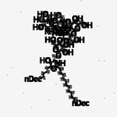 CCCCCCCCCCCCC/C=C/[C@@H](O)[C@H](CO[C@@H]1OC(CO)[C@@H](O[C@@H]2OC(CO)[C@H](O[C@@H]3OC(CO)[C@H](O)[C@H](O)C3NC(C)=O)[C@H](O[C@H]3OC(CO)[C@H](O)[C@H](O[C@@H]4OC(CO)[C@@H](O)[C@H](O)C4NC(C)=O)C3O)C2O)[C@H](O)C1O)NC(=O)CCCCCCCCCCCCCCCCCCCCC